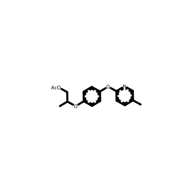 CC(=O)OCC(C)Oc1ccc(Oc2ccc(C)cn2)cc1